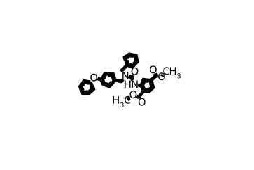 COC(=O)c1ccc(C(=O)OC)c(NC(=O)N(Cc2ccccc2)Cc2ccc(Oc3ccccc3)cc2)c1